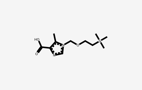 Cc1c(C(=O)O)ncn1COCC[Si](C)(C)C